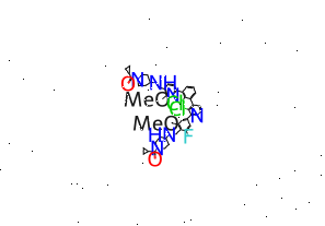 COc1cc(-c2nccc(-c3cccc(-c4ccc(CNC5CCN(C(=O)C6CC6)CC5)c(OC)n4)c3Cl)c2Cl)cc(F)c1CNC1CCN(C(=O)C2CC2)CC1